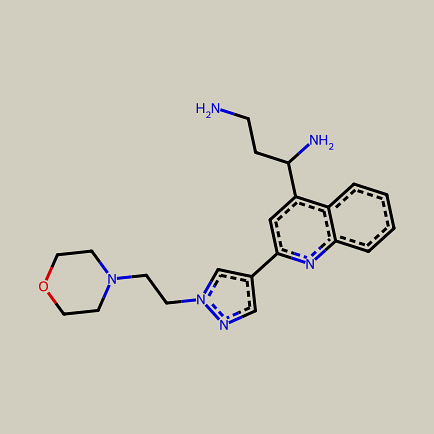 NCCC(N)c1cc(-c2cnn(CCN3CCOCC3)c2)nc2ccccc12